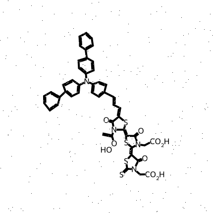 C=C(OO)n1c(=O)/c(=C\C=C\c2ccc(N(c3ccc(-c4ccccc4)cc3)c3ccc(-c4ccccc4)cc3)cc2)s/c1=c1/s/c(=C2\SC(=S)N(CC(=O)O)C2=O)n(CC(=O)O)c1=O